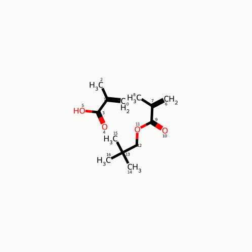 C=C(C)C(=O)O.C=C(C)C(=O)OCC(C)(C)C